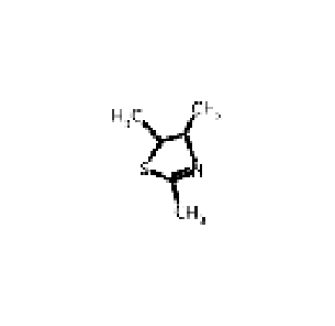 CC1=NC(C)C(C)S1